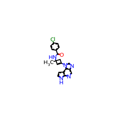 CC1(NC(=O)c2ccc(Cl)cc2)C=C(n2cnc3cnc4[nH]ccc4c32)C1